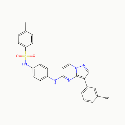 CC(=O)c1cccc(-c2cnn3ccc(Nc4ccc(NS(=O)(=O)c5ccc(C)cc5)cc4)nc23)c1